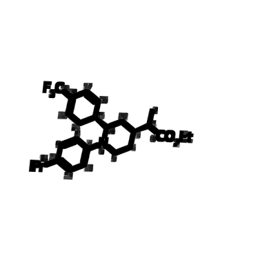 CCOC(=O)C(C)[C@H]1CCN(c2ccc(C(C)C)cc2)C([C@@H]2C=CC(C(F)(F)F)=CC2)C1